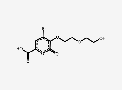 O=C(O)c1cc(Br)c(OCCOCCO)c(=O)o1